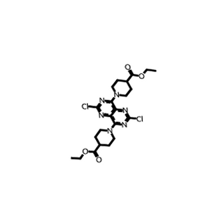 CCOC(=O)C1CCN(c2nc(Cl)nc3c(N4CCC(C(=O)OCC)CC4)nc(Cl)nc23)CC1